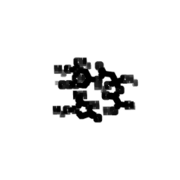 CCC(O)C(=O)OC(C)(C)CC(=O)OC(CC(=O)[O-])C[N+](C)(C)C.CN1CC(=O)NC1=N